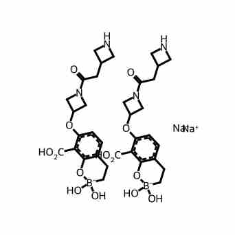 O=C(O)c1c(OC2CN(C(=O)CC3CNC3)C2)ccc2c1O[B-](O)(O)CC2.O=C(O)c1c(OC2CN(C(=O)CC3CNC3)C2)ccc2c1O[B-](O)(O)CC2.[Na+].[Na+]